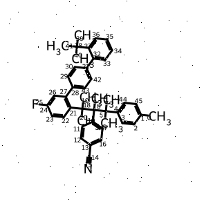 Cc1ccc(C(C)(C)C(C)(c2ccc(C#N)cc2)C(C)(C)c2ccc(F)cc2-c2ccc(-c3ccccc3C(C)(C)C)cc2)cc1